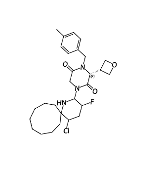 Cc1ccc(CN2C(=O)CN(C3NC4(CCCCCCCC4)C(Cl)CC3F)C(=O)[C@H]2C2COC2)cc1